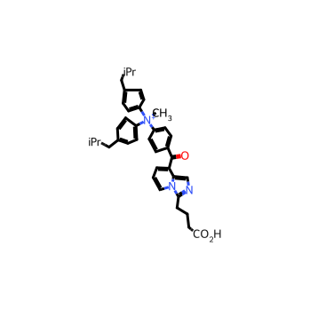 CC(C)Cc1ccc([N+](C)(c2ccc(CC(C)C)cc2)c2ccc(C(=O)c3cccn4c(CCCC(=O)O)ncc34)cc2)cc1